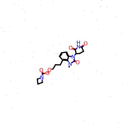 Cn1c(=O)n(C2CCC(=O)NC2=O)c2cccc(CCCOOC(=O)N3CCC3)c21